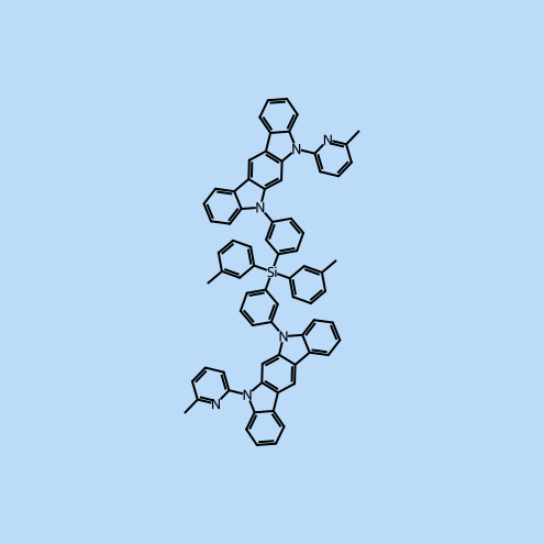 Cc1cccc([Si](c2cccc(C)c2)(c2cccc(-n3c4ccccc4c4cc5c6ccccc6n(-c6cccc(C)n6)c5cc43)c2)c2cccc(-n3c4ccccc4c4cc5c6ccccc6n(-c6cccc(C)n6)c5cc43)c2)c1